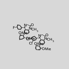 COc1cccc(OC)c1-c1ccc2c(c1)C(c1ccc(Cl)c(Cl)c1)=NCC(=O)N2C.COc1cccc(OC)c1-c1ccc2c(c1)C(c1ccc(F)cc1)=NCC(=O)N2C